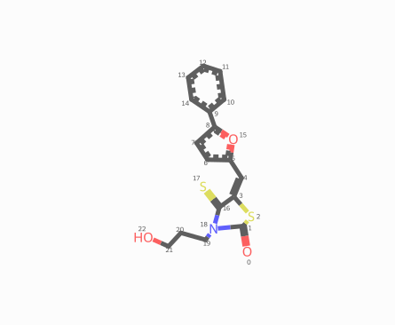 O=C1S/C(=C/c2ccc(-c3ccccc3)o2)C(=S)N1CCCO